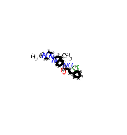 Cc1cc(N2CCN(C)CC2)nc2ccc(NC(=O)C=Cc3ccccc3Cl)cc12